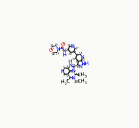 C=C(c1cncc2[nH]c(-c3n[nH]c4ncc(-c5cncc(NC(=O)N6CCOCC6)c5)cc34)nc12)N(CC)CC